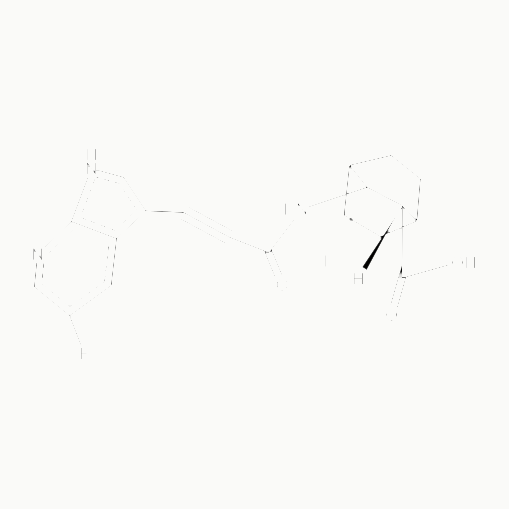 O=C(C#Cc1c[nH]c2ncc(F)cc12)N[C@H]1C2CCC(CC2)[C@@H]1C(=O)O